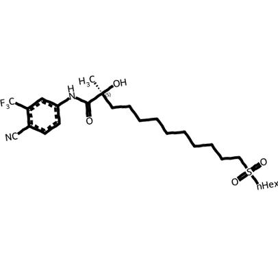 CCCCCCS(=O)(=O)CCCCCCCCCC[C@](C)(O)C(=O)Nc1ccc(C#N)c(C(F)(F)F)c1